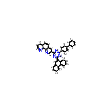 c1ccc(-c2ccc(-c3nc(-c4cnc5c(ccc6cccnc65)c4)nc(-c4cc5ccccc5c5ccccc45)n3)cc2)cc1